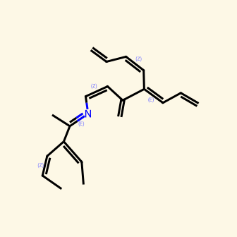 C=C/C=C\C(=C/C=C)C(=C)/C=C\N=C(/C)C(=CC)/C=C\C